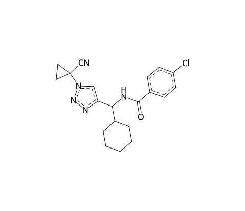 N#CC1(n2cc(C(NC(=O)c3ccc(Cl)cc3)C3CCCCC3)nn2)CC1